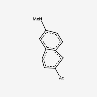 CNc1ccc2cc(C(C)=O)ccc2c1